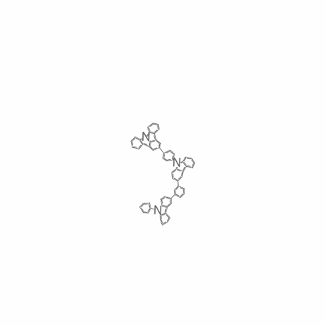 c1ccc(-n2c3ccccc3c3cc(-c4cccc(-c5ccc6c(c5)c5ccccc5n6-c5ccc(-c6cc7c8ccccc8n8c9ccccc9c(c6)c78)cc5)c4)ccc32)cc1